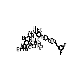 C=P(C)(C)c1c(Nc2nc(Nc3cc(C)c(N4CCC(N5CCN(CCc6cc(F)cc(F)c6)CC5)CC4)cc3CC)ncc2Br)ccc2nc(CC)ncc12